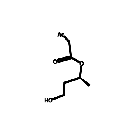 CC(=O)CC(=O)O[C@@H](C)CCO